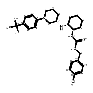 O=C(N[C@@H]1CCCC[C@H]1N[C@H]1CCCN(c2ccc(C(F)(F)F)cc2)C1)OCc1ccc(Cl)cc1